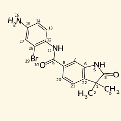 CC1(C)C(=O)Nc2cc(C(=O)Nc3ccc(N)cc3Br)ccc21